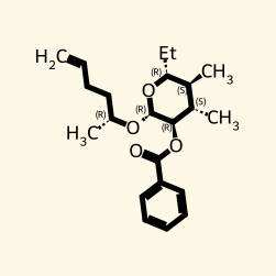 C=CCC[C@@H](C)O[C@@H]1O[C@H](CC)[C@@H](C)[C@H](C)[C@H]1OC(=O)c1ccccc1